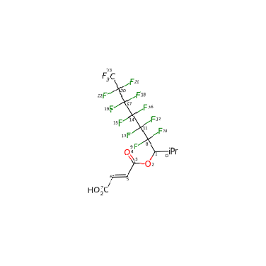 CC(C)C(OC(=O)C=CC(=O)O)C(F)(F)C(F)(F)C(F)(F)C(F)(F)C(F)(F)C(F)(F)F